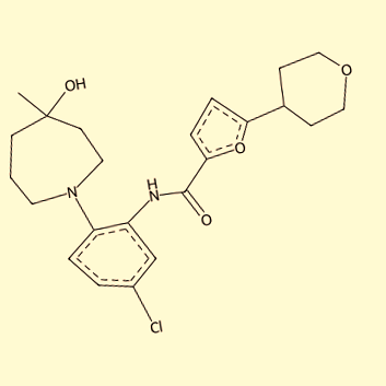 CC1(O)CCCN(c2ccc(Cl)cc2NC(=O)c2ccc(C3CCOCC3)o2)CC1